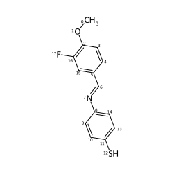 COc1ccc(/C=N/c2ccc(S)cc2)cc1F